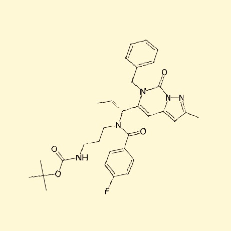 CC[C@H](c1cc2cc(C)nn2c(=O)n1Cc1ccccc1)N(CCCNC(=O)OC(C)(C)C)C(=O)c1ccc(F)cc1